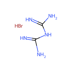 Br.N=C(N)NC(=N)N